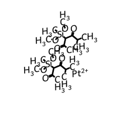 CO[Si](C)(OC)C(C(C)=O)C(=O)C(C)C.CO[Si](C)(OC)C(C(C)=O)C(=O)C(C)C.[Pt+2]